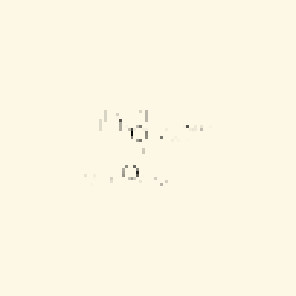 CCCCN1CCC(CC(=O)Cc2cc(Cl)c(N)cc2OCc2cc(OC)cc(OC)c2)CC1.Cl